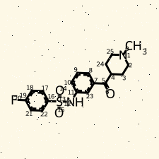 CN1CCC(C(=O)c2cccc(NS(=O)(=O)c3ccc(F)cc3)c2)CC1